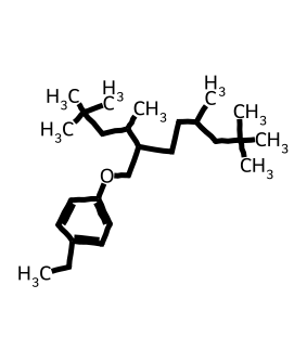 CCc1ccc(OCC(CCC(C)CC(C)(C)C)C(C)CC(C)(C)C)cc1